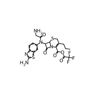 CCCC1=C(C(=O)OC(=O)C(F)(F)F)N2C(=O)C(N(C(=O)CN)c3ccc4nc(N)sc4c3)C2SC1